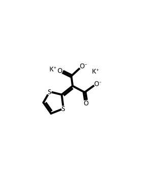 O=C([O-])C(C(=O)[O-])=C1SC=CS1.[K+].[K+]